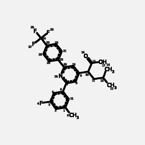 Cc1cc(F)cc(-c2cc(C(CC(C)C)C(=O)O)cc(-c3ccc(C(F)(F)F)cc3)n2)c1